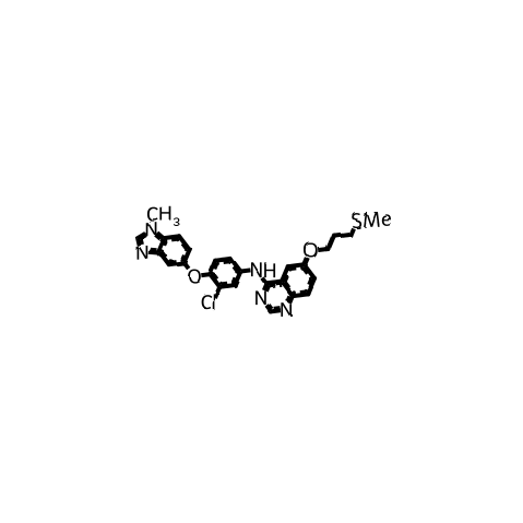 CSCCCOc1ccc2ncnc(Nc3ccc(Oc4ccc5c(c4)ncn5C)c(Cl)c3)c2c1